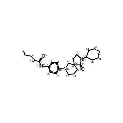 CCCOC(=O)Nc1ccc(N2CCC[C@]3(CCN(C4CCOCC4)C3=O)C2)cc1